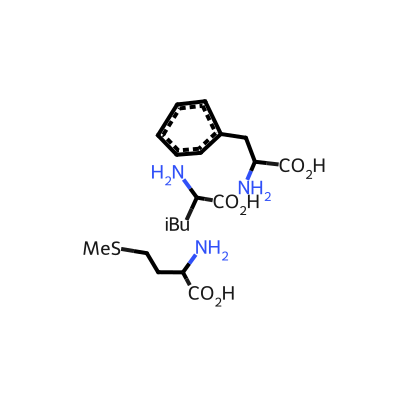 CCC(C)C(N)C(=O)O.CSCCC(N)C(=O)O.NC(Cc1ccccc1)C(=O)O